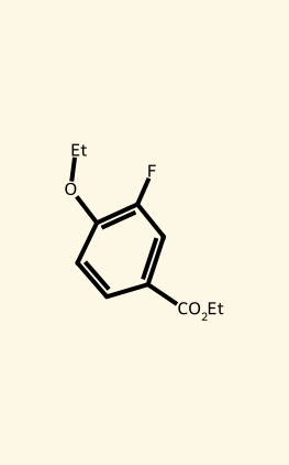 CCOC(=O)c1ccc(OCC)c(F)c1